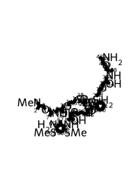 CNC(C)COCC(C)NCC(O)COCCC[Si](C)(C)O[Si](C)(C)O[Si](O[SiH2]CCCOCC(O)CNC(C)COCC(C)N)(O[Si](C)(C)CCCOCC(O)CNc1c(SC)cc(SC)c(N)c1C)c1ccccc1